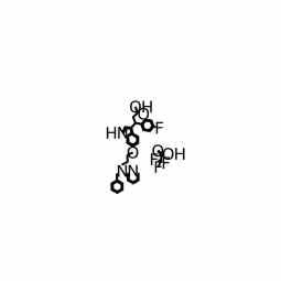 O=C(O)C(F)(F)F.O=C(O)CC(c1ccc(F)cc1)c1c[nH]c2cc(OCCCN(Cc3ccccc3)c3ccccn3)ccc12